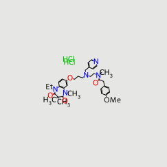 CCN1C(=O)C(C)(C)C(=O)N(C)c2cc(OCCCN(CCN(C)C(=O)Cc3ccc(OC)cc3)Cc3ccncc3)ccc21.Cl.Cl